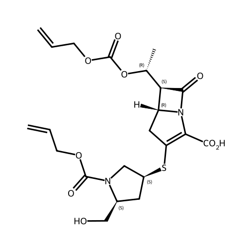 C=CCOC(=O)O[C@H](C)[C@H]1C(=O)N2C(C(=O)O)=C(S[C@H]3C[C@@H](CO)N(C(=O)OCC=C)C3)C[C@H]12